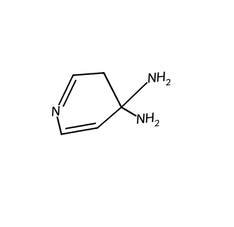 NC1(N)C=CN=CC1